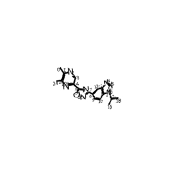 Cc1ncc(-c2nc(-c3ccc4c(c3)nnn4C(C)C)no2)nc1C